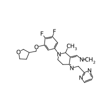 C=N/C=C1\C(=N/Cc2ncccn2)CCN(c2cc(F)c(F)c(OCC3CCOC3)c2)C1C